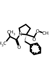 COC(=O)[C@]1(Cc2ccccc2)CCCN1C(=O)C(C)C